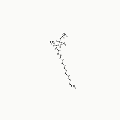 CCCCCCCCCCCCCCCCC(CC)(CC)CCCCC